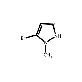 CN1N[C]C=C1Br